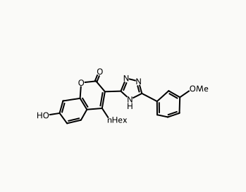 CCCCCCc1c(-c2nnc(-c3cccc(OC)c3)[nH]2)c(=O)oc2cc(O)ccc12